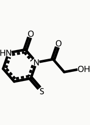 O=C(CO)n1c(=S)cc[nH]c1=O